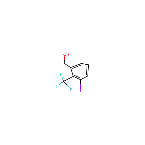 O[CH]c1cccc(I)c1C(F)(F)F